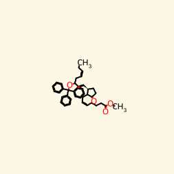 CC/C=C\CC(/C=C/[C@H]1CCC(=O)C1C/C=C\CCCC(=O)OC)OC(c1ccccc1)(c1ccccc1)c1ccccc1